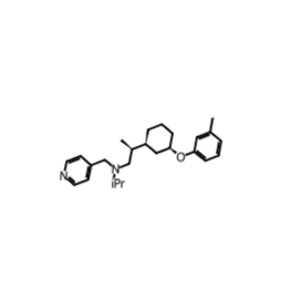 Cc1cccc(O[C@@H]2CCC[C@H]([C@H](C)CN(Cc3ccncc3)C(C)C)C2)c1